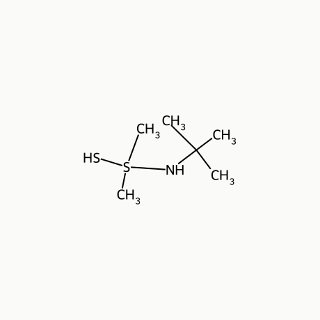 CC(C)(C)NS(C)(C)S